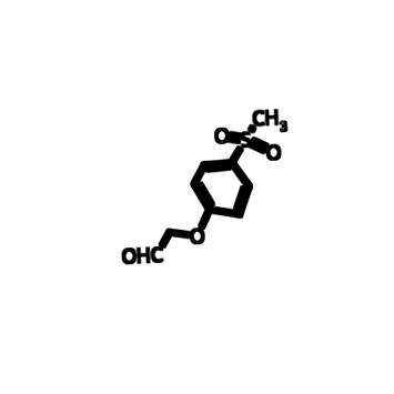 CS(=O)(=O)c1ccc(OCC=O)cc1